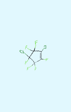 FC1=C(Cl)C(F)(F)C(F)(Cl)C1(F)F